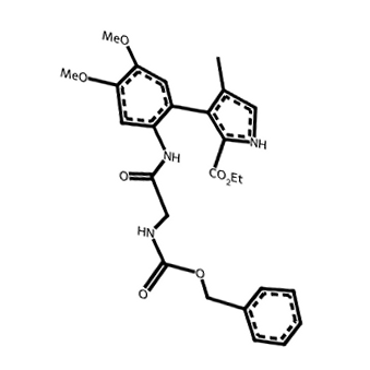 CCOC(=O)c1[nH]cc(C)c1-c1cc(OC)c(OC)cc1NC(=O)CNC(=O)OCc1ccccc1